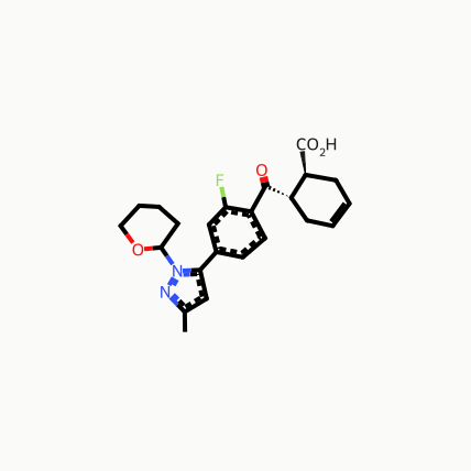 Cc1cc(-c2ccc(C(=O)[C@H]3CC=CC[C@@H]3C(=O)O)c(F)c2)n(C2CCCCO2)n1